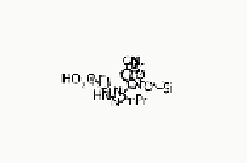 CCCc1cnc(N[C@H]2CCCN(C(=O)O)C2)nc1-c1cn(COCC[Si](C)(C)C)c2c(S(C)(=O)=O)c(C#N)ccc12